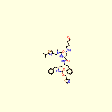 CC(C)c1nc(CN(C)C(=O)N[C@@H](CCNCCCC=O)C(=O)N[C@@H](CC[C@@H](Cc2ccccc2)NC(=O)OCc2cncs2)Cc2ccccc2)cs1